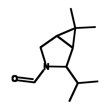 CC(C)C1C2C(CN1C=O)C2(C)C